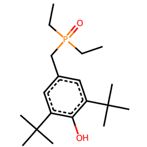 CCP(=O)(CC)Cc1cc(C(C)(C)C)c(O)c(C(C)(C)C)c1